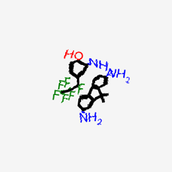 CC1(C)c2cc(N)ccc2-c2ccc(N)cc21.Nc1cc(C(F)C(F)(F)C(F)(F)F)ccc1O